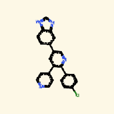 Clc1ccc(-c2ncc(-c3ccc4[nH]cnc4c3)[c]c2-c2ccncc2)cc1